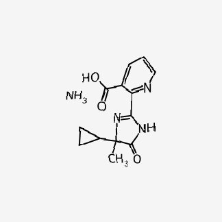 CC1(C2CC2)N=C(c2ncccc2C(=O)O)NC1=O.N